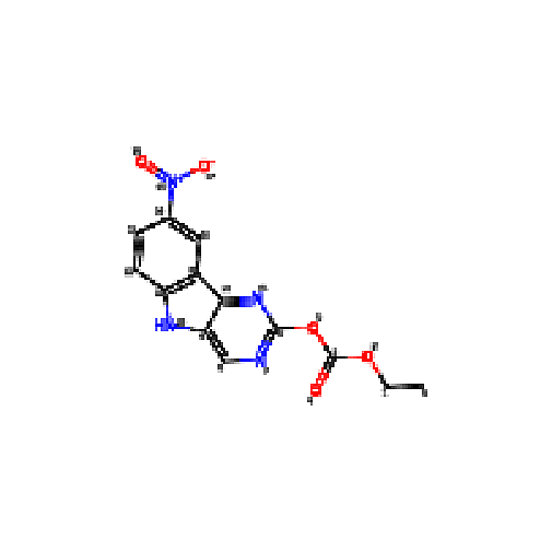 CCOC(=O)Oc1ncc2[nH]c3ccc([N+](=O)[O-])cc3c2n1